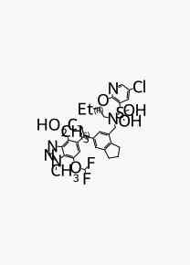 CC[C@@H]1CN(Cc2cc([C@H](CC(=O)O)c3cc(OC(F)F)c4c(nnn4C)c3C)cc3c2CCC3)S(O)(O)c2cc(Cl)cnc2O1